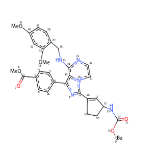 COC(=O)c1ccc(-c2nc(C3=CC(NC(=O)OC(C)(C)C)CC3)n3ccnc(NCc4ccc(OC)cc4OC)c23)cc1